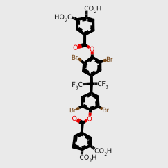 O=C(Oc1c(Br)cc(C(c2cc(Br)c(OC(=O)c3ccc(C(=O)O)c(C(=O)O)c3)c(Br)c2)(C(F)(F)F)C(F)(F)F)cc1Br)c1ccc(C(=O)O)c(C(=O)O)c1